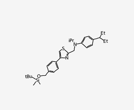 CCC(CC)c1ccc(N(Cc2nc(-c3ccc(CO[Si](C)(C)C(C)(C)C)cc3)cs2)C(C)C)cc1